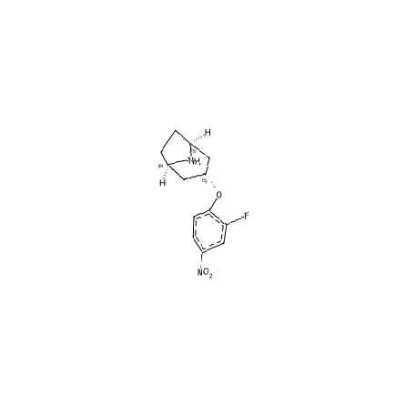 O=[N+]([O-])c1ccc(O[C@@H]2C[C@H]3CC[C@@H](C2)N3)c(F)c1